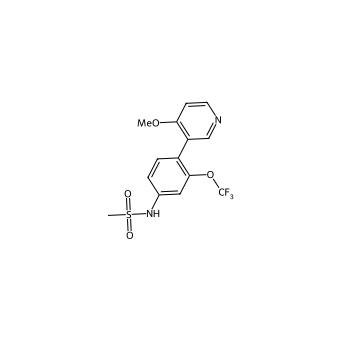 COc1ccncc1-c1ccc(NS(C)(=O)=O)cc1OC(F)(F)F